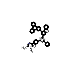 C=C/C=C\c1c(C)oc2cc(-c3nc(-c4ccccc4)nc(-c4cc(-c5ccc6c7ccccc7c7ccccc7c6c5)c5c(c4)oc4ccccc45)n3)ccc12